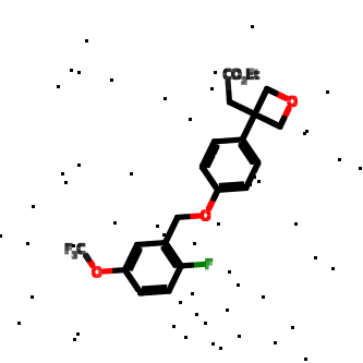 CCOC(=O)CC1(c2ccc(OCc3cc(OC(F)(F)F)ccc3F)cc2)COC1